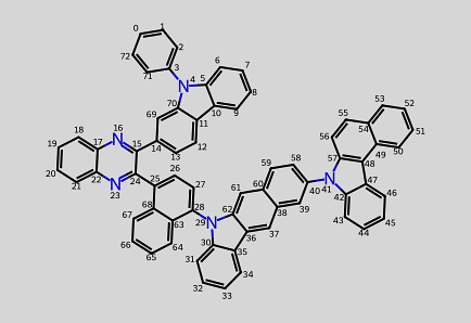 c1ccc(-n2c3ccccc3c3ccc(-c4nc5ccccc5nc4-c4ccc(-n5c6ccccc6c6cc7cc(-n8c9ccccc9c9c%10ccccc%10ccc98)ccc7cc65)c5ccccc45)cc32)cc1